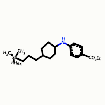 CCCCCC[Si](C)(C)CCCC1CCC(Nc2ccc(C(=O)OCC)cc2)CC1